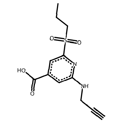 C#CCNc1cc(C(=O)O)cc(S(=O)(=O)CCC)n1